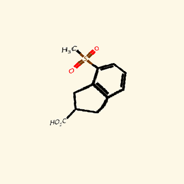 CS(=O)(=O)c1cccc2c1CC(C(=O)O)C2